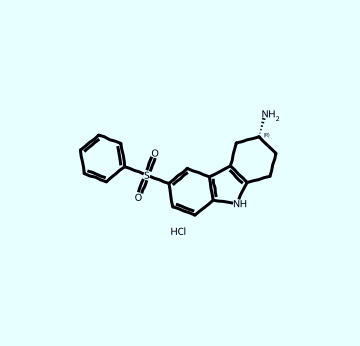 Cl.N[C@@H]1CCc2[nH]c3ccc(S(=O)(=O)c4ccccc4)cc3c2C1